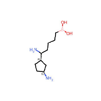 NC(CCCCB(O)O)[C@@H]1CC[C@H](N)C1